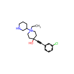 CC[N+]1(C2CCCNC2)CCC(O)(C#Cc2cccc(Cl)c2)CC1